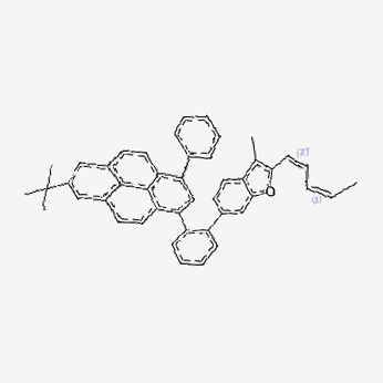 C/C=C\C=C/c1oc2cc(-c3ccccc3-c3cc(-c4ccccc4)c4ccc5cc(C(C)(C)C)cc6ccc3c4c56)ccc2c1C